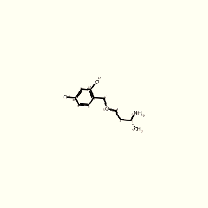 C[C@@H](N)CCOCc1ccc(Cl)cc1Cl